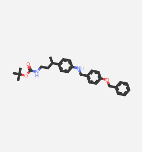 CC(CCNC(=O)OC(C)(C)C)c1ccc(NCc2ccc(OCc3ccccc3)cc2)cc1